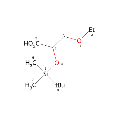 CCOCC(O[Si](C)(C)C(C)(C)C)C(=O)O